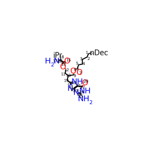 CCCCCCCCCCCCCCCC(=O)OCC(CCOC(=O)[C@@H](N)C(C)C)Cc1nc2nc(N)[nH]c(=O)c2[nH]1